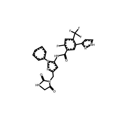 O=C(Nc1cc(CN2C(=O)CNC2=O)nn1-c1ccccc1)c1cc(-c2cc[nH]n2)c(C(F)(F)F)cc1F